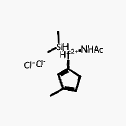 CC(=O)[NH][Hf+2]([C]1=CC(C)=CC1)[SiH](C)C.[Cl-].[Cl-]